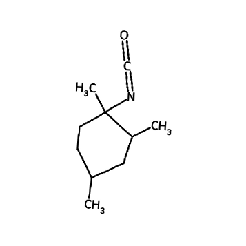 CC1CCC(C)(N=C=O)C(C)C1